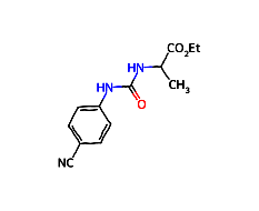 CCOC(=O)C(C)NC(=O)Nc1ccc(C#N)cc1